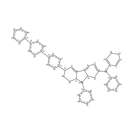 C1=CC(N(C2=CC=C3C4=CC(c5ccc(-c6ccc(-c7ccccc7)cc6)cc5)CCC4N(c4ccccc4)C3C2)c2ccccc2)=CCC1